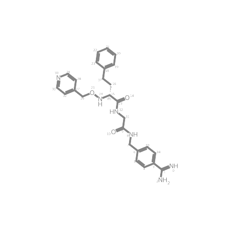 N=C(N)c1ccc(CNC(=O)CNC(=O)[C@@H](CCc2ccccc2)NOCc2ccncc2)cc1